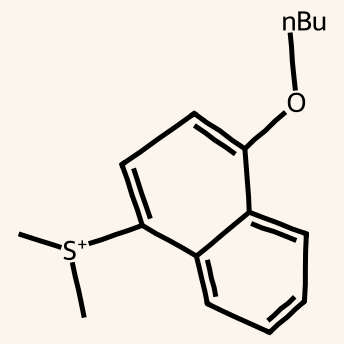 CCCCOc1ccc([S+](C)C)c2ccccc12